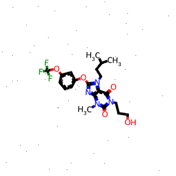 CC(C)CCn1c(Oc2cccc(OC(F)(F)F)c2)nc2c1c(=O)n(CCCO)c(=O)n2C